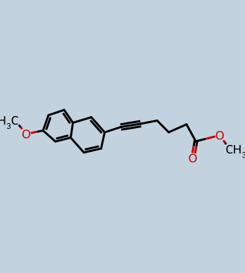 COC(=O)CCCC#Cc1ccc2cc(OC)ccc2c1